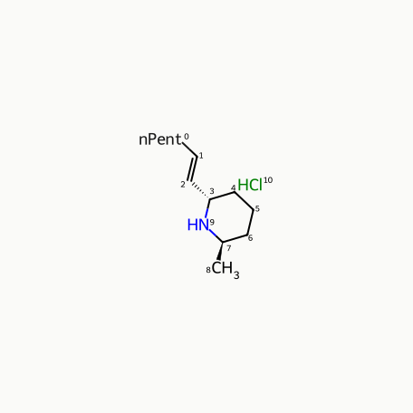 CCCCC/C=C/[C@@H]1CCC[C@@H](C)N1.Cl